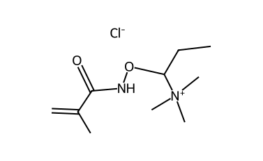 C=C(C)C(=O)NOC(CC)[N+](C)(C)C.[Cl-]